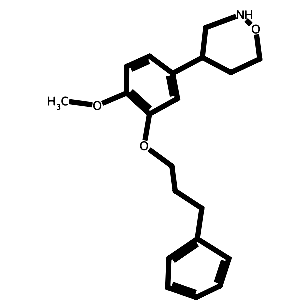 COc1ccc(C2CCONC2)cc1OCCCc1ccccc1